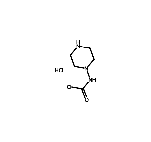 Cl.O=C(Cl)NN1CCNCC1